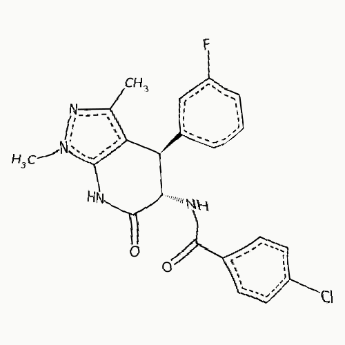 Cc1nn(C)c2c1[C@@H](c1cccc(F)c1)[C@H](NC(=O)c1ccc(Cl)cc1)C(=O)N2